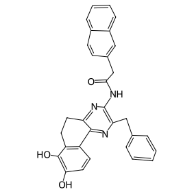 O=C(Cc1ccc2ccccc2c1)Nc1nc2c(nc1Cc1ccccc1)-c1ccc(O)c(O)c1CC2